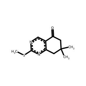 CSc1ncc2c(n1)CC(C)(C)CC2=O